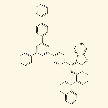 c1ccc(-c2ccc(-c3cc(-c4ccccc4)nc(-c4ccc(-c5nc6c(-c7cccc8ccccc78)cccc6c6oc7ccccc7c56)cc4)n3)cc2)cc1